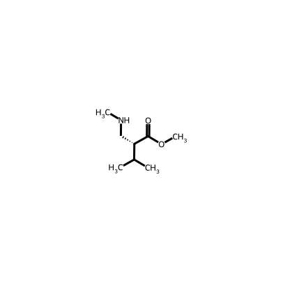 CNC[C@H](C(=O)OC)C(C)C